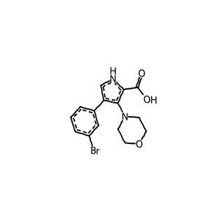 O=C(O)c1[nH]cc(-c2cccc(Br)c2)c1N1CCOCC1